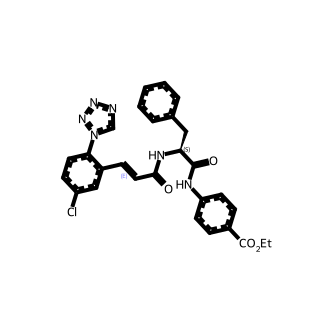 CCOC(=O)c1ccc(NC(=O)[C@H](Cc2ccccc2)NC(=O)/C=C/c2cc(Cl)ccc2-n2cnnn2)cc1